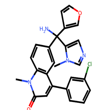 Cn1cncc1C(N)(c1ccoc1)c1ccc2c(c1)c(-c1cccc(Cl)c1)cc(=O)n2C